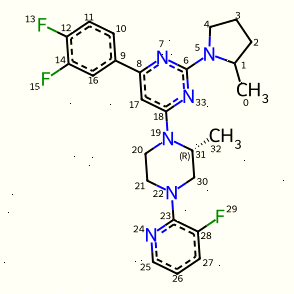 CC1CCCN1c1nc(-c2ccc(F)c(F)c2)cc(N2CCN(c3ncccc3F)C[C@H]2C)n1